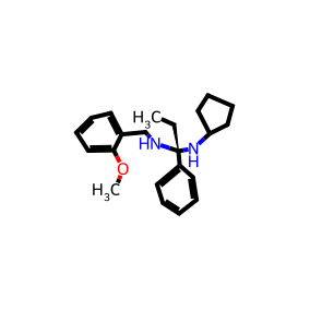 CC[C@@](NCc1ccccc1OC)(NC1CCCC1)c1ccccc1